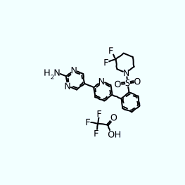 Nc1ncc(-c2ccc(-c3ccccc3S(=O)(=O)N3CCCC(F)(F)C3)cn2)cn1.O=C(O)C(F)(F)F